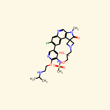 CC(C)NCCOc1ncc(-c2cc3c4c(cnc3cc2F)N(C)C(=O)C42CN(C[C@@H](O)CO)C2)cc1NS(C)(=O)=O